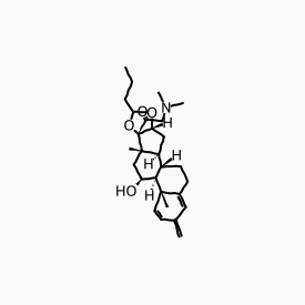 C=C1C=C[C@@]2(C)C(=C1)CC[C@@H]1[C@@H]2[C@@H](O)C[C@@]2(C)[C@H]1C[C@H]1OC(CCC)O[C@]12C(=O)CN(C)C